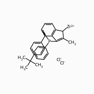 CC1=c2c3c(ccc(c3-c3ccc(C(C)(C)C)cc3)p2-c2ccccc2)[CH]1[Zr+2].[Cl-].[Cl-]